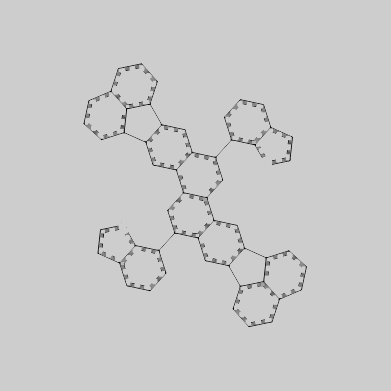 c1cc(-c2cc3c4cc5c(cc4c(-c4cccc6ccsc46)cc3c3cc4c(cc23)-c2cccc3cccc-4c23)-c2cccc3cccc-5c23)c2sccc2c1